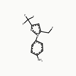 Nc1ccc(-n2nc(C(F)(F)F)cc2CF)cc1